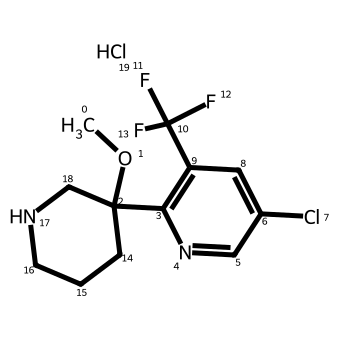 COC1(c2ncc(Cl)cc2C(F)(F)F)CCCNC1.Cl